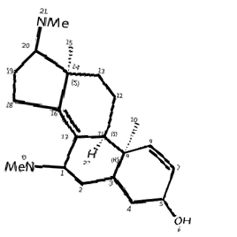 CNC1CC2CC(O)C=C[C@]2(C)[C@@H]2CC[C@@]3(C)C(=C12)CCC3NC